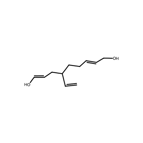 C=CC(C/C=C/O)CC/C=C/CO